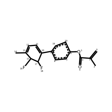 C=C(C)C(=O)Oc1ccc(C2=CC=C(C)C(F)C2F)cc1